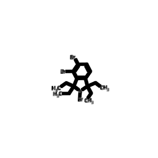 CCC1(CC)c2ccc(Br)c(Br)c2C(CC)(CC)N1Br